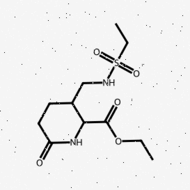 CCOC(=O)C1NC(=O)CCC1CNS(=O)(=O)CC